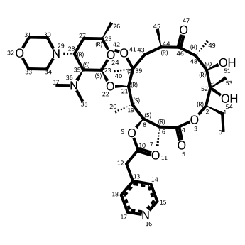 CC[C@H]1OC(=O)[C@H](C)[C@@H](OC(=O)Cc2ccncc2)[C@H](C)[C@@H](O[C@@H]2O[C@H](C)C[C@@H](N3CCOCC3)[C@@H]2N(C)C)[C@@](C)(OC)C[C@@H](C)C(=O)[C@H](C)[C@@H](O)[C@]1(C)O